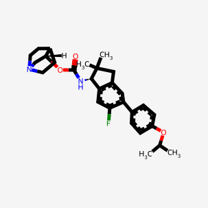 CC(C)Oc1ccc(-c2cc3c(cc2F)[C@H](NC(=O)O[C@@H]2CN4CCC2CC4)C(C)(C)C3)cc1